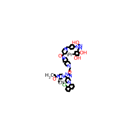 C=CC(=O)N1CCN(c2nc(OCCN3CCC4(CC3)CCN(C(=O)C3CCN(Cc5ccc(-n6c(O)nnc6-c6cc(C(C)C)c(O)cc6O)cc5)CC3)CC4)nc3c2CCN(c2cccc4cccc(Cl)c24)C3)C[C@@H]1CC#N